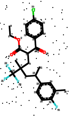 CCOC(=O)C(CC(C)(CC(C)c1ccc(F)c(C)c1)C(F)(F)F)C(=O)c1ccc(Cl)cc1